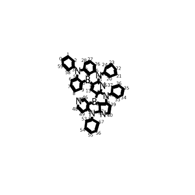 c1ccc(N2c3ccccc3B3c4cc5c(nc4N(c4ccccc4)c4cccc2c43)N(c2ccccc2)c2ccnc3c2B5c2cnccc2N3c2ccccc2)cc1